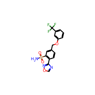 NS(=O)(=O)c1cc(COc2cccc(C(F)(F)F)c2)ccc1-c1ncon1